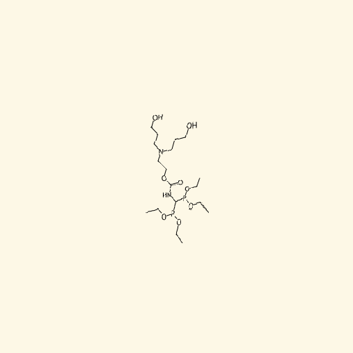 CCOP(OCC)C(NC(=O)OCCN(CCCO)CCCO)P(OCC)OCC